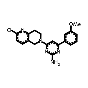 COc1cccc(-c2cc(N3CCc4nc(Cl)ccc4C3)nc(N)n2)c1